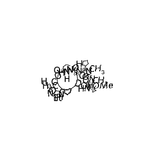 CCn1c(-c2cccnc2C(C)C)c2c3cc(ccc31)-c1cc(O)cc(c1)C[C@H](NC(=O)[C@H](C1CCCC1)N(C)C(=O)CN(C)C(=O)[C@H]1N[C@H]1C1(OC)CC1)C(=O)N1CCC[C@H](N1)C(=O)OCC(C)(C)C2